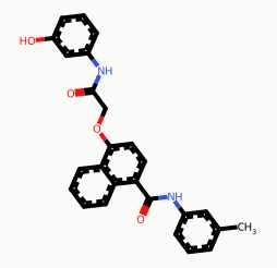 Cc1cccc(NC(=O)c2ccc(OCC(=O)Nc3cccc(O)c3)c3ccccc23)c1